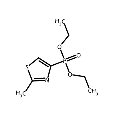 CCOP(=O)(OCC)c1csc(C)n1